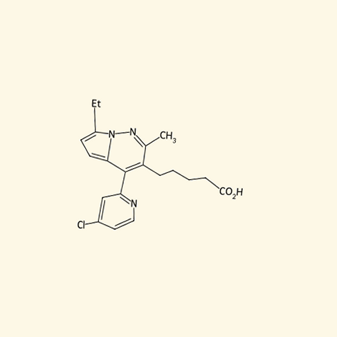 CCc1ccc2c(-c3cc(Cl)ccn3)c(CCCCC(=O)O)c(C)nn12